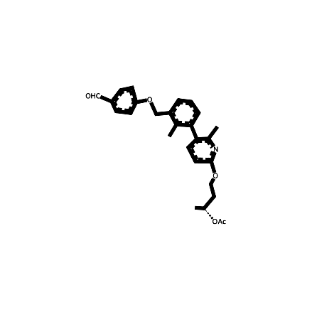 CC(=O)O[C@H](C)CCOc1ccc(-c2cccc(COc3ccc(C=O)cc3)c2C)c(C)n1